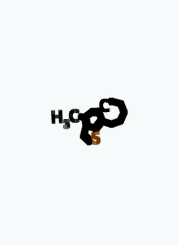 Cc1cc2c(c3sccc13)CCCCCC2